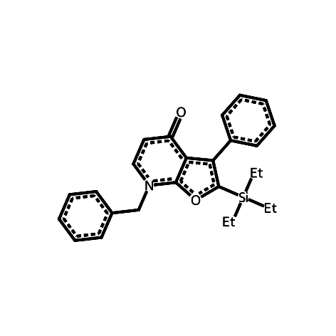 CC[Si](CC)(CC)c1oc2c(c1-c1ccccc1)c(=O)ccn2Cc1ccccc1